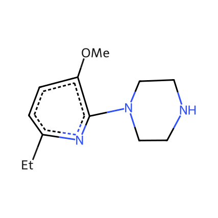 CCc1ccc(OC)c(N2CCNCC2)n1